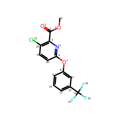 COC(=O)c1nc(Oc2cccc(C(F)(F)F)c2)ccc1Cl